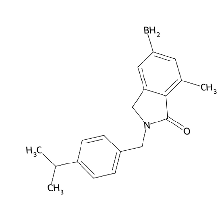 Bc1cc(C)c2c(c1)CN(Cc1ccc(C(C)C)cc1)C2=O